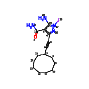 NC(=O)c1c(C#CC2CCCCCCCC2)nn(I)c1N